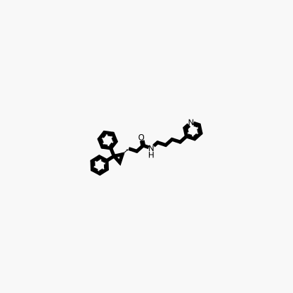 O=C(CC[C@@H]1CC1(c1ccccc1)c1ccccc1)NCCCCc1cccnc1